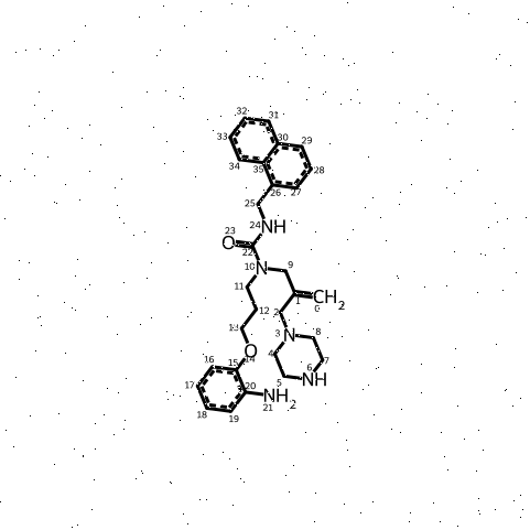 C=C(CN1CCNCC1)CN(CCCOc1ccccc1N)C(=O)NCc1cccc2ccccc12